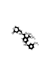 Cc1cccc(Nc2cc(C(C)C)c(C(=O)NCC3CCOC(=O)C3)cn2)c1